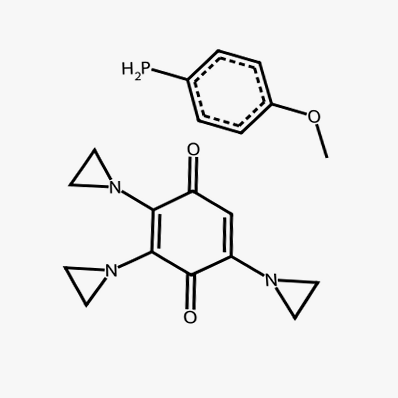 COc1ccc(P)cc1.O=C1C=C(N2CC2)C(=O)C(N2CC2)=C1N1CC1